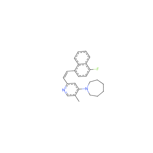 Cc1cnc(/C=C\c2ccc(F)c3ccccc23)cc1N1CCCCCC1